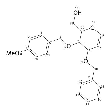 COc1ccc(COC2C(OCc3ccccc3)C=COC2CO)cc1